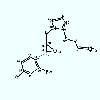 C=CCSc1ncnn1C[C@H]1O[C@@H]1c1ccc(F)cc1F